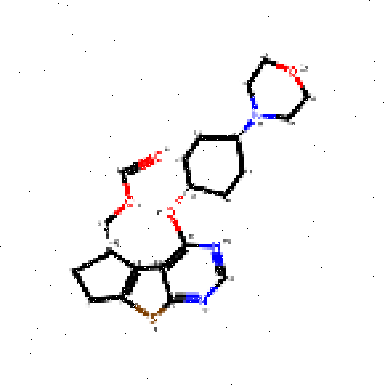 O=COC[C@H]1CCc2sc3ncnc(O[C@H]4CC[C@H](N5CCOCC5)CC4)c3c21